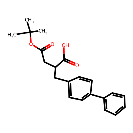 CC(C)(C)OC(=O)CC(Cc1ccc(-c2ccccc2)cc1)C(=O)O